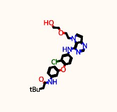 CC(C)(C)CC(=O)Nc1cccc(Oc2ccc(Nc3ncnc4ccn(CCOCCO)c34)cc2Cl)c1